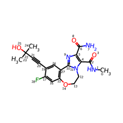 CNC(=O)c1c(C(N)=O)nc2n1CCOc1cc(F)c(C#CC(C)(C)O)cc1-2